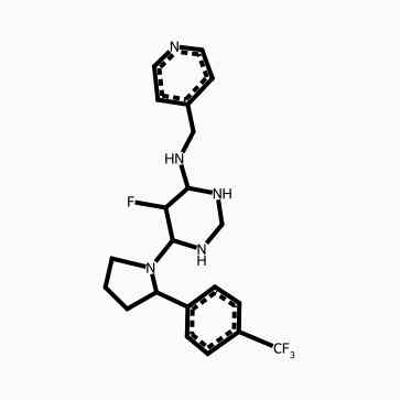 FC1C(NCc2ccncc2)NCNC1N1CCCC1c1ccc(C(F)(F)F)cc1